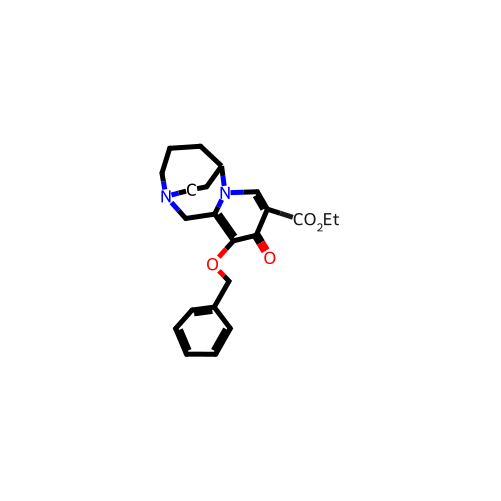 CCOC(=O)c1cn2c(c(OCc3ccccc3)c1=O)CN1CCCC2CC1